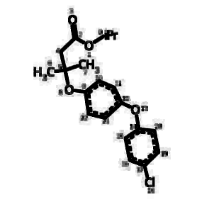 CC(C)OC(=O)CC(C)(C)Oc1ccc(Oc2ccc(Cl)cc2)cc1